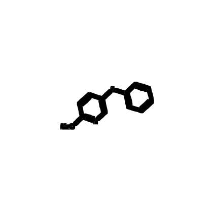 COc1ccc(Sc2ccccc2)cn1